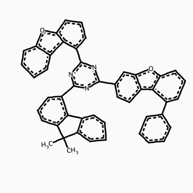 CC1(C)c2ccccc2-c2c(-c3nc(-c4ccc5c(c4)oc4cccc(-c6ccccc6)c45)nc(-c4cccc5oc6ccccc6c45)n3)cccc21